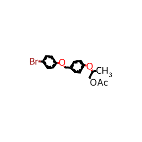 CC(=O)OCC(C)Oc1ccc(COc2ccc(Br)cc2)cc1